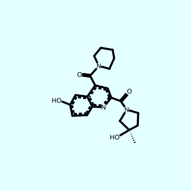 C[C@@]1(O)CCN(C(=O)c2cc(C(=O)N3CCCCC3)c3cc(O)ccc3n2)C1